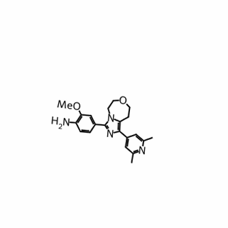 COc1cc(-c2nc(-c3cc(C)nc(C)c3)c3n2CCOCC3)ccc1N